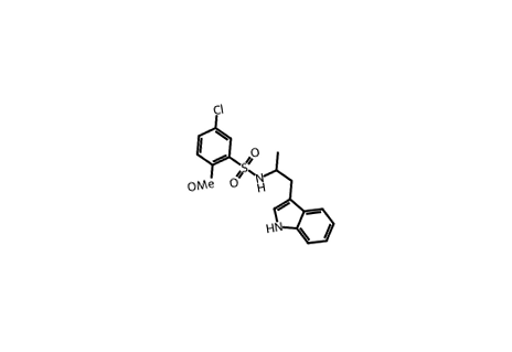 COc1ccc(Cl)cc1S(=O)(=O)NC(C)Cc1c[nH]c2ccccc12